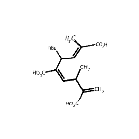 C=C(C(=O)O)C(C)C=C(C(=O)O)C(C=C(C)C(=O)O)CCCC